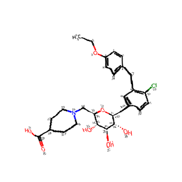 CCOc1ccc(Cc2cc([C@@H]3O[C@H](CN4CCC(C(=O)O)CC4)[C@@H](O)[C@H](O)[C@H]3O)ccc2Cl)cc1